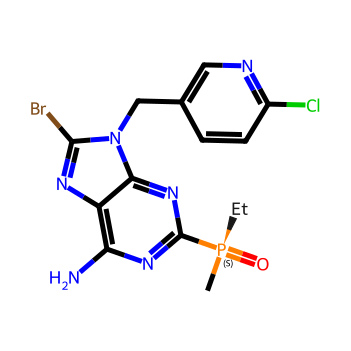 CC[P@](C)(=O)c1nc(N)c2nc(Br)n(Cc3ccc(Cl)nc3)c2n1